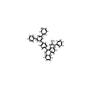 CCc1nc2c3c(-c4ccc(-c5cc(-c6cccnc6)nc(-c6cccnc6)c5)cc4)nc4ccccc4c3ccc2n1-c1ccccc1